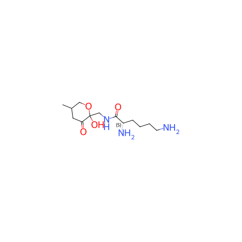 CC1COC(O)(CNC(=O)[C@@H](N)CCCCN)C(=O)C1